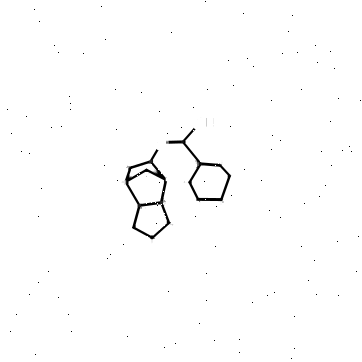 CC(OC1CC2CC1C1CCCC21)C1CCCCC1